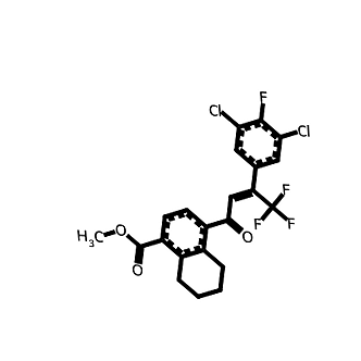 COC(=O)c1ccc(C(=O)C=C(c2cc(Cl)c(F)c(Cl)c2)C(F)(F)F)c2c1CCCC2